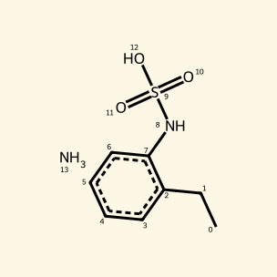 CCc1ccccc1NS(=O)(=O)O.N